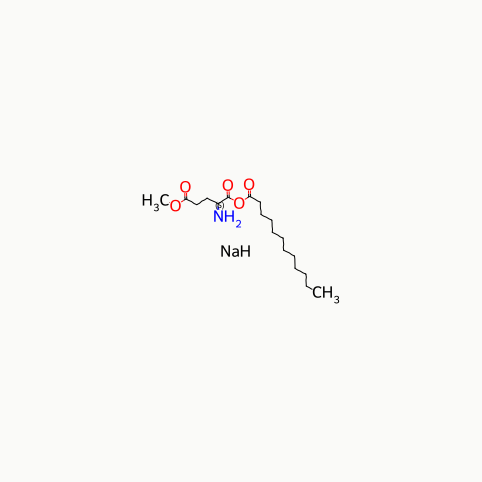 CCCCCCCCCCCC(=O)OC(=O)[C@@H](N)CCC(=O)OC.[NaH]